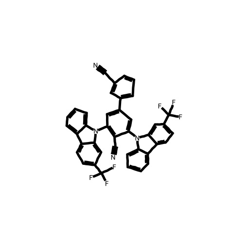 N#Cc1cccc(-c2cc(-n3c4ccccc4c4ccc(C(F)(F)F)cc43)c(C#N)c(-n3c4ccccc4c4ccc(C(F)(F)F)cc43)c2)c1